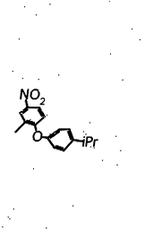 Cc1cc([N+](=O)[O-])ccc1Oc1ccc(C(C)C)cc1